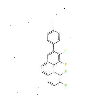 Fc1ccc2ccc3cc(-c4ccc(I)cc4)c(F)c(F)c3c2c1F